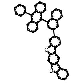 c1ccc(-c2c3ccccc3c(-c3cc(-c4ccc5c(c4)oc4cc6oc7ccccc7c6cc45)cc4ccccc34)c3ccccc23)cc1